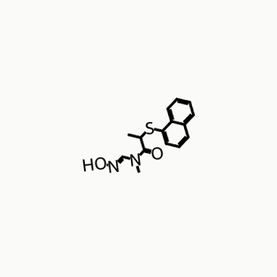 CC(Sc1cccc2ccccc12)C(=O)N(C)C=NO